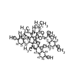 CC[C@@H](C)[C@H](OC(=O)[C@@H](Cc1ccc(OC)cc1)N(C)C)C(=O)N[C@H](C(=O)N(C)C(Cc1ccc(O)cc1)C(=O)N(C)[C@H](Cc1ccc(O)cc1)C(=O)OC)C(C)C